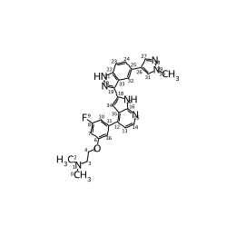 CN(C)CCOc1cc(F)cc(-c2ccnc3[nH]c(-c4n[nH]c5ccc(-c6cnn(C)c6)cc45)cc23)c1